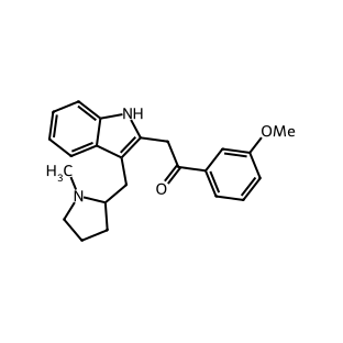 COc1cccc(C(=O)Cc2[nH]c3ccccc3c2CC2CCCN2C)c1